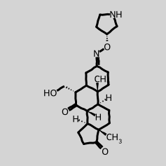 C[C@]12CCC(=NO[C@@H]3CCNC3)CC1[C@@H](CO)C(=O)[C@@H]1[C@@H]2CC[C@]2(C)C(=O)CC[C@@H]12